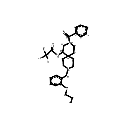 CCCOc1ccccc1CN1CCC2(CC1)CCN(C(=O)c1ccccc1)CC2OC(=O)C(F)(F)F